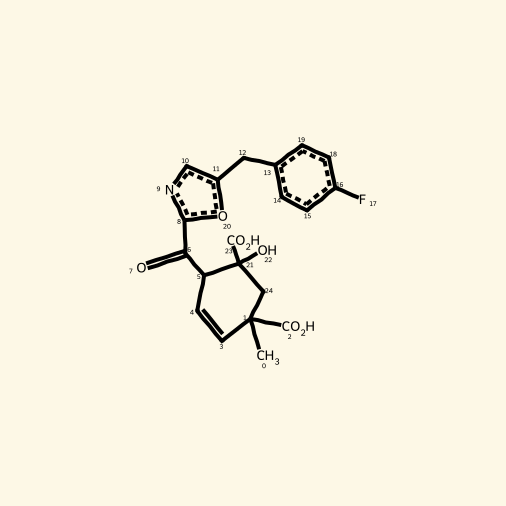 CC1(C(=O)O)C=CC(C(=O)c2ncc(Cc3ccc(F)cc3)o2)C(O)(C(=O)O)C1